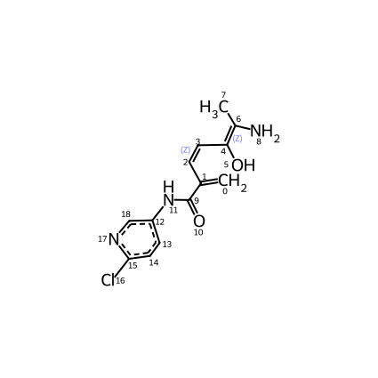 C=C(/C=C\C(O)=C(/C)N)C(=O)Nc1ccc(Cl)nc1